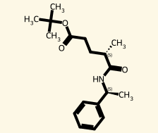 C[C@H](NC(=O)[C@@H](C)CCC(=O)OC(C)(C)C)c1ccccc1